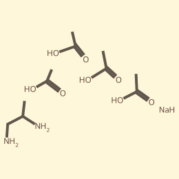 CC(=O)O.CC(=O)O.CC(=O)O.CC(=O)O.CC(N)CN.[NaH]